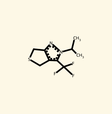 CC(C)n1nc2c(c1C(F)(F)F)CSC2